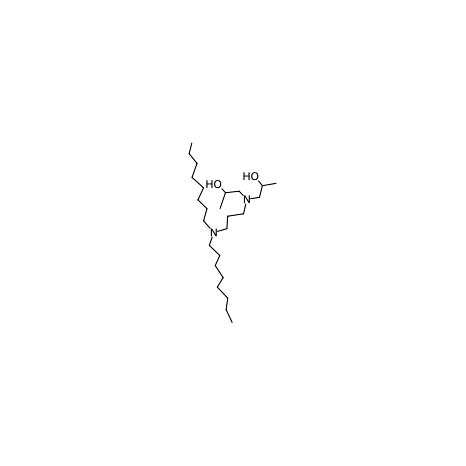 CCCCCCCCN(CCCCCCCC)CCCN(CC(C)O)CC(C)O